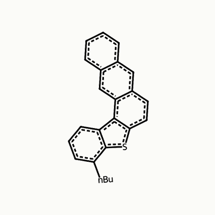 CCCCc1cccc2c1sc1ccc3cc4ccccc4cc3c12